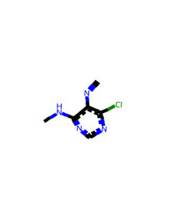 C=Nc1c(Cl)ncnc1NC